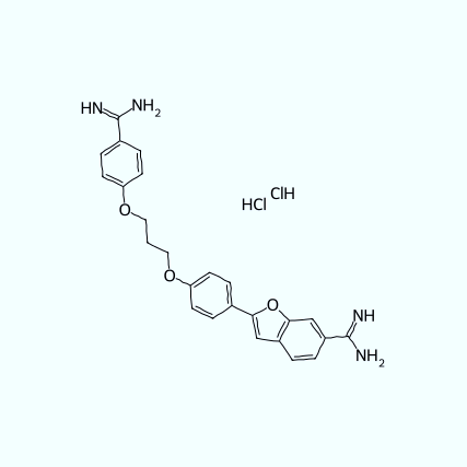 Cl.Cl.N=C(N)c1ccc(OCCCOc2ccc(-c3cc4ccc(C(=N)N)cc4o3)cc2)cc1